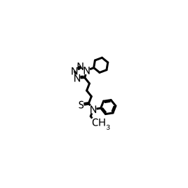 CCN(C(=S)CCCc1nnnn1C1CCCCC1)c1ccccc1